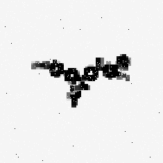 C=C(NCC(F)F)N(c1ccc(-c2cnc(OC)nc2)cn1)C1CCC(Nc2ncc(C(F)(F)F)c(-n3ccnn3)n2)CC1